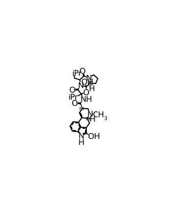 CC(C)CC1C(=O)N2CCC[C@H]2C2(O)OC(NC(=O)[C@@H]3C=C4c5cccc6[nH]c(O)c(c56)C[C@H]4N(C)C3)(C(C)C)C(=O)N12